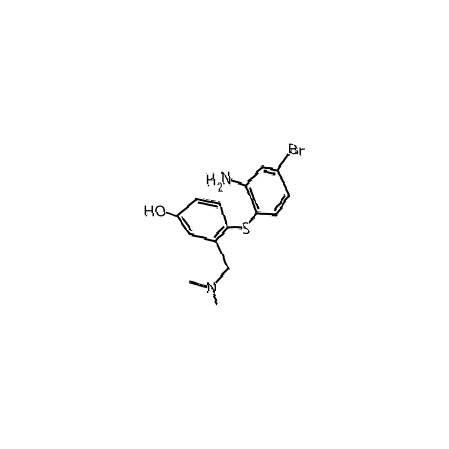 CN(C)Cc1cc(O)ccc1Sc1ccc(Br)cc1N